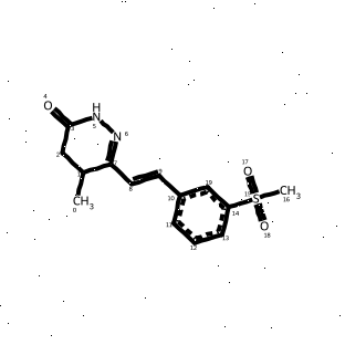 CC1CC(=O)NN=C1C=Cc1cccc(S(C)(=O)=O)c1